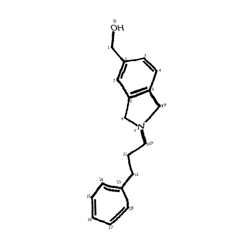 OCc1ccc2c(c1)CN(CCCc1ccccc1)C2